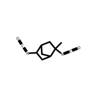 CC1(N=C=O)CC2CC1CC2N=C=O